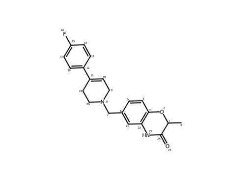 CC1Oc2ccc(CN3CC=C(c4ccc(F)cc4)CC3)cc2NC1=O